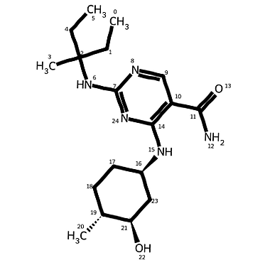 CCC(C)(CC)Nc1ncc(C(N)=O)c(N[C@@H]2CC[C@@H](C)[C@H](O)C2)n1